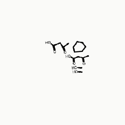 C1CCCCC1.CC(=O)CC(=O)O.CC(=O)CC(=O)O.CO.CO